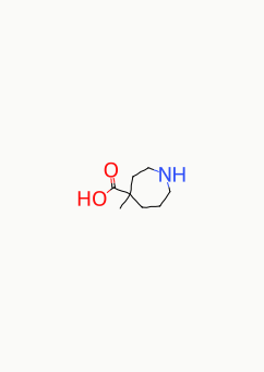 CC1(C(=O)O)CCCNCC1